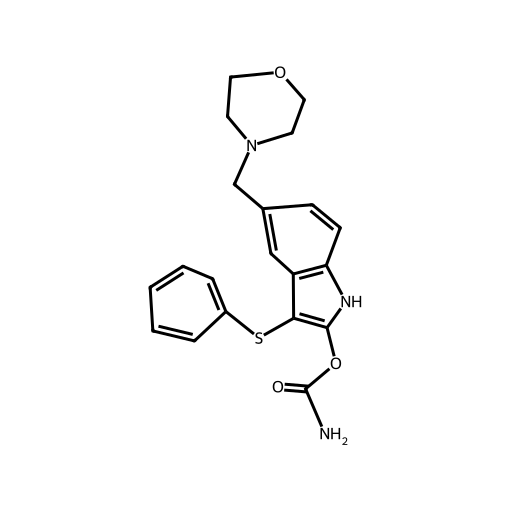 NC(=O)Oc1[nH]c2ccc(CN3CCOCC3)cc2c1Sc1ccccc1